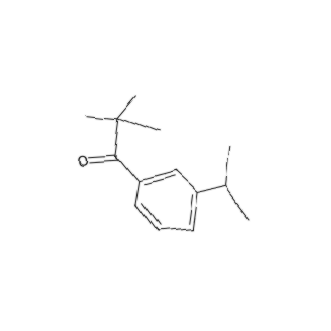 CC(C)c1cccc(C(=O)C(C)(C)C)c1